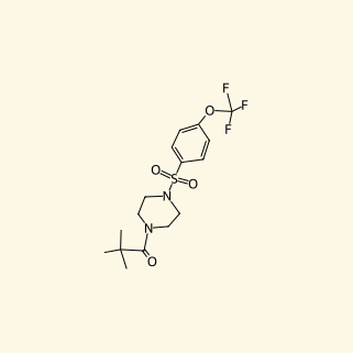 CC(C)(C)C(=O)N1CCN(S(=O)(=O)c2ccc(OC(F)(F)F)cc2)CC1